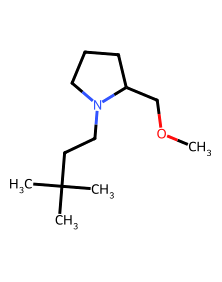 COCC1CCCN1CCC(C)(C)C